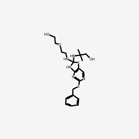 CC(C)(CO)NC1(NCCOCCO)Nc2nc(SCc3ccccc3)ncc2S1